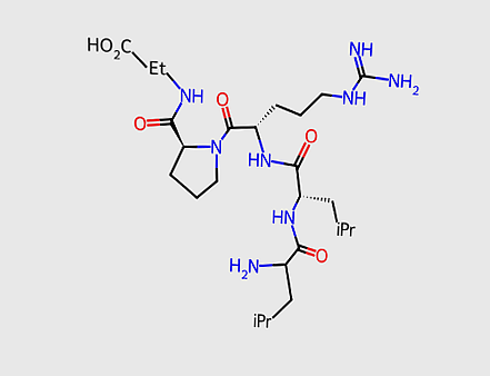 CC(=O)O.CCNC(=O)[C@@H]1CCCN1C(=O)[C@H](CCCNC(=N)N)NC(=O)[C@H](CC(C)C)NC(=O)C(N)CC(C)C